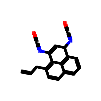 C=CCc1ccc2cccc3c2c1C(N=C=O)=CC3N=C=O